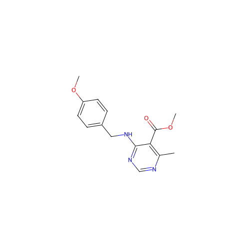 COC(=O)c1c(C)ncnc1NCc1ccc(OC)cc1